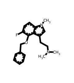 CN(C)CCc1cn(C)c2ccc(F)c(OCc3ccccc3)c12